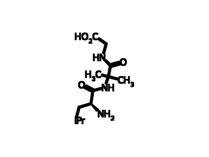 CC(C)C[C@H](N)C(=O)NC(C)(C)C(=O)NCC(=O)O